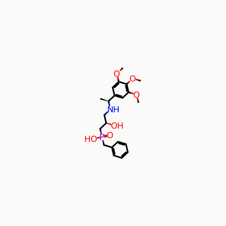 COc1cc([C@H](C)NC[C@@H](O)CP(=O)(O)Cc2ccccc2)cc(OC)c1OC